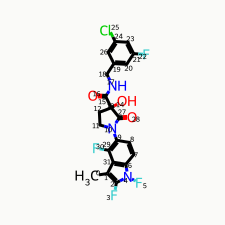 Cc1c(F)n(F)c2ccc(N3CCC(O)(C(=O)NCc4cc(F)cc(Cl)c4)C3=O)c(F)c12